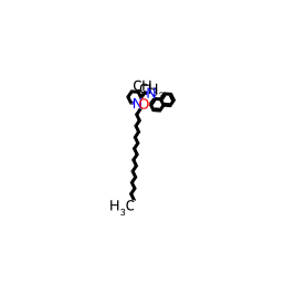 CCCCCCCCCCCCCCCCCCN1CCCC(C)(C)C12C=Nc1c(ccc3ccccc13)O2